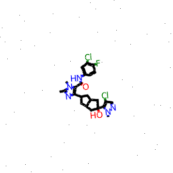 Cc1nc(C2CC3CC(O)(c4c(Cl)cnn4C)CC3C2)c(C(=O)Nc2ccc(F)c(Cl)c2)n1C